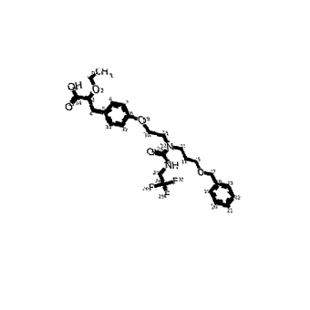 CCOC(Cc1ccc(OCCN(CCCOCc2ccccc2)C(=O)NCC(F)(F)F)cc1)C(=O)O